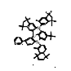 Cc1cc2c(cc1N1c3cc4c(cc3B3c5cc(-c6ccccc6)ccc5N(c5ccc6c(c5C)C(C)(C)CCC6(C)C)c5cc(C(C)(C)C)cc1c53)C(C)(C)CC4(C)C)C(C)(C)CC2(C)C